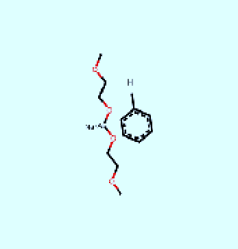 COCC[O][Al][O]CCOC.Cc1ccccc1.[H-].[Na+]